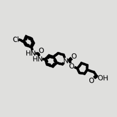 O=C(O)CC1CCC(OC(=O)N2CCc3cc(NC(=O)Nc4cccc(Cl)c4)ccc3C2)CC1